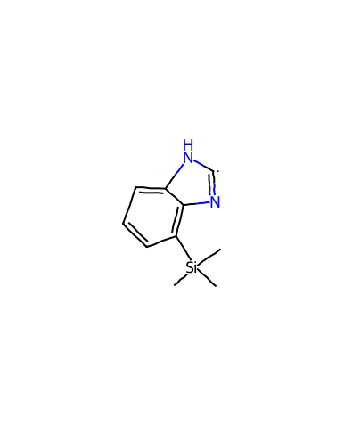 C[Si](C)(C)c1cccc2[nH][c]nc12